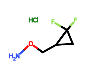 Cl.NOCC1CC1(F)F